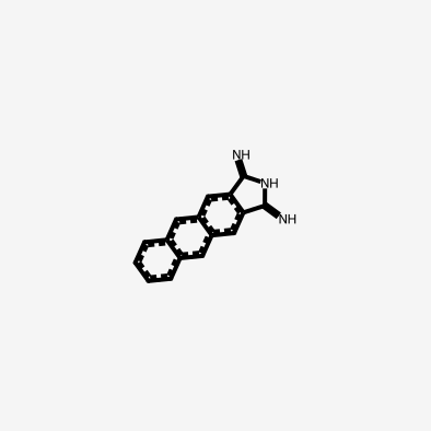 N=C1NC(=N)c2cc3cc4ccccc4cc3cc21